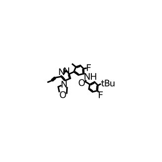 CC#Cc1nnc(-c2cc(NC(=O)c3ccc(F)c(C(C)(C)C)c3)c(F)cc2C)cc1N1CCOCC1